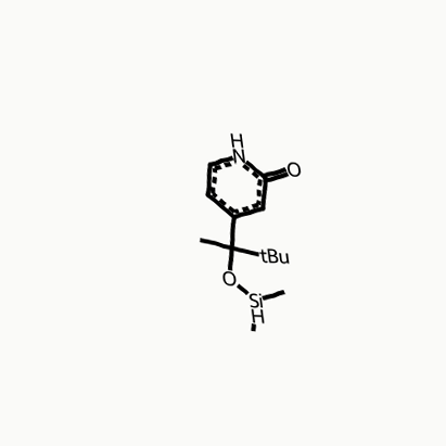 C[SiH](C)OC(C)(c1cc[nH]c(=O)c1)C(C)(C)C